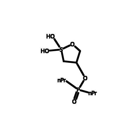 CCCP(=O)(CCC)OC1COS(O)(O)C1